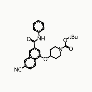 CC(C)(C)OC(=O)N1CCC(Oc2cc(C(=O)Nc3ccccc3)cc3cc(C#N)ccc23)CC1